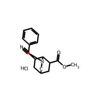 COC(=O)C1CC2CC(C#N)C1N(Cc1ccccc1)C2.Cl